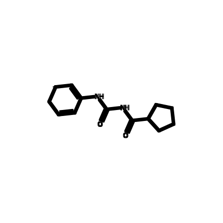 O=C(NC(=O)C1CCCC1)NC1=C[CH]CC=C1